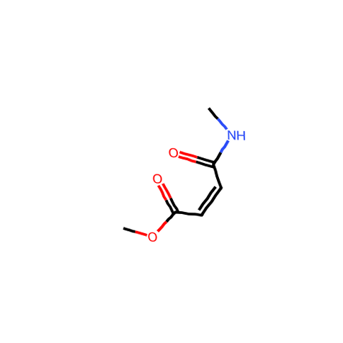 CNC(=O)/C=C\C(=O)OC